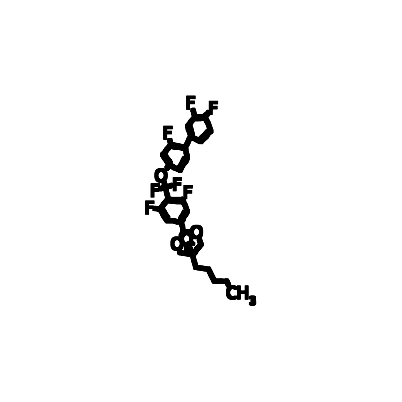 CCCCCC12COC(c3cc(F)c(C(F)(F)Oc4ccc(-c5ccc(F)c(F)c5)c(F)c4)c(F)c3)(OC1)OC2